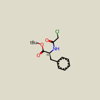 CC(C)(C)OC(=O)[C@H](Cc1ccccc1)NC(=O)CCl